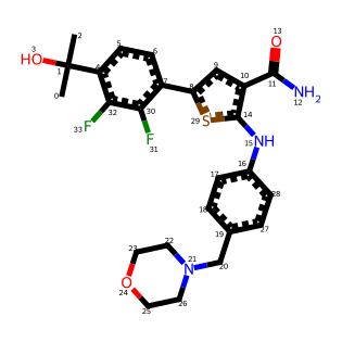 CC(C)(O)c1ccc(-c2cc(C(N)=O)c(Nc3ccc(CN4CCOCC4)cc3)s2)c(F)c1F